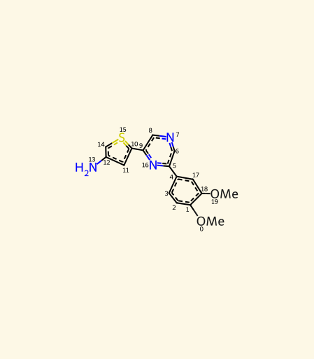 COc1ccc(-c2cncc(-c3cc(N)cs3)n2)cc1OC